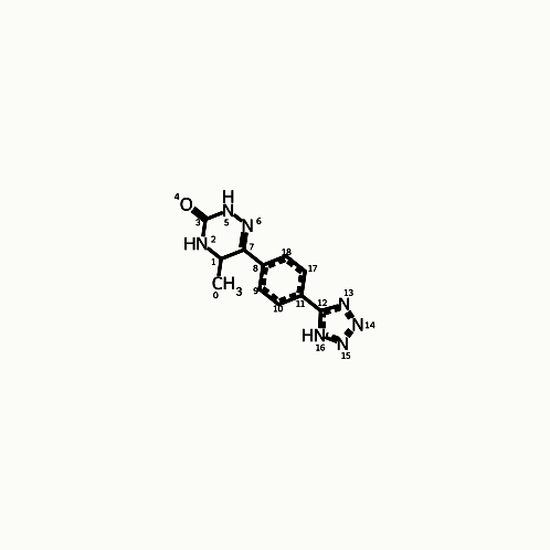 CC1NC(=O)NN=C1c1ccc(-c2nnn[nH]2)cc1